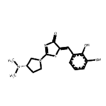 CN(C)[C@H]1CCN(C2=NC(=O)/C(=C/c3cccc(C(C)(C)C)c3O)S2)C1